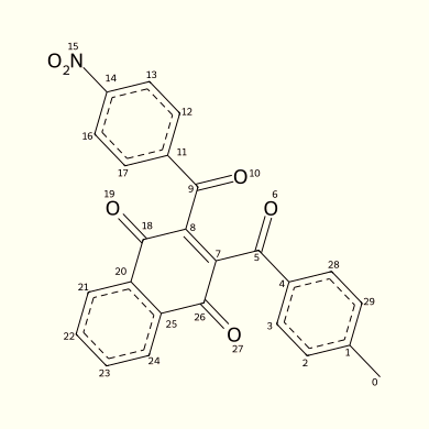 Cc1ccc(C(=O)C2=C(C(=O)c3ccc([N+](=O)[O-])cc3)C(=O)c3ccccc3C2=O)cc1